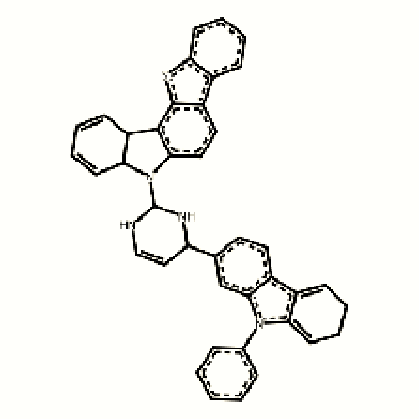 C1=CC2c3c(ccc4c3sc3ccccc34)N(C3NC=CC(c4ccc5c6c(n(-c7ccccc7)c5c4)=CCCC=6)N3)C2C=C1